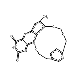 Cc1cc2nc3c(=O)[nH]c(=O)nc-3n3c2cc1CCCCc1ccc(cc1)CCC3